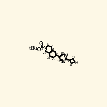 CC(C)(C)OC(=O)N1CCc2cc(-c3cnc(C4CCC4)nc3)ccc2C1